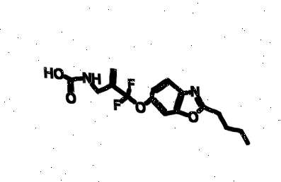 C=C(CNC(=O)O)C(F)(F)Oc1ccc2nc(CCCC)oc2c1